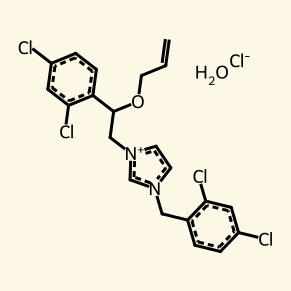 C=CCOC(C[n+]1ccn(Cc2ccc(Cl)cc2Cl)c1)c1ccc(Cl)cc1Cl.O.[Cl-]